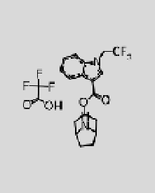 O=C(O)C(F)(F)F.O=C(OC1CC2CCC(C1)N2)c1cn(CC(F)(F)F)c2ccccc12